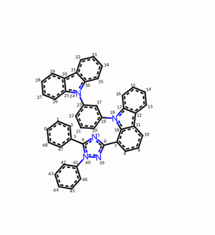 c1ccc(-c2nc(-c3cccc4c5ccccc5n(-c5cccc(-n6c7ccccc7c7ccccc76)c5)c34)nn2-c2ccccc2)cc1